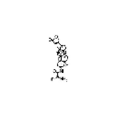 CC(C)[C@@H](N)C(=O)N[C@@H]1CC[C@]2(C)[C@H](CC[C@@H]3[C@H]2CC[C@]2(C)[C@@H](C4=CC(=O)OC4)CC[C@@]32O)C1